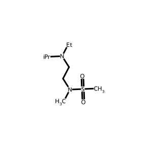 CCN(CCN(C)S(C)(=O)=O)C(C)C